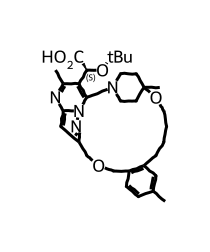 Cc1ccc2c(c1)CCCCOC1(C)CCN(CC1)c1c([C@H](OC(C)(C)C)C(=O)O)c(C)nc3cc(nn13)COC2